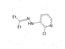 CCC(CC)=NNc1cccnc1Cl